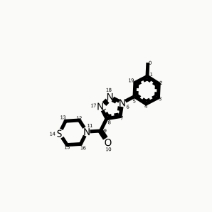 Cc1cccc(-n2cc(C(=O)N3CCSCC3)nn2)c1